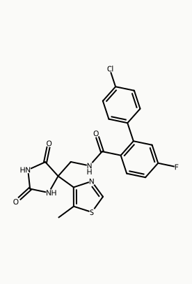 Cc1scnc1C1(CNC(=O)c2ccc(F)cc2-c2ccc(Cl)cc2)NC(=O)NC1=O